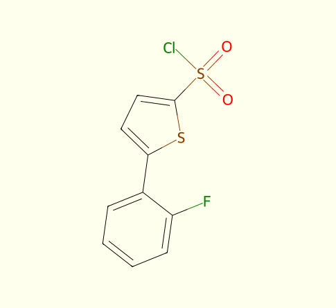 O=S(=O)(Cl)c1ccc(-c2ccccc2F)s1